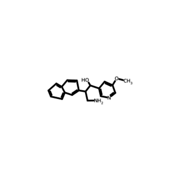 COc1cncc(C(O)C(CN)c2ccc3ccccc3c2)c1